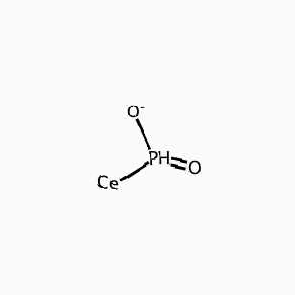 O=[PH]([O-])[Ce]